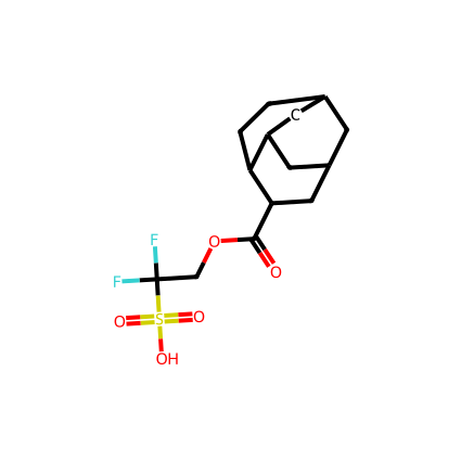 O=C(OCC(F)(F)S(=O)(=O)O)C1CC2CC3CCC1C(C3)C2